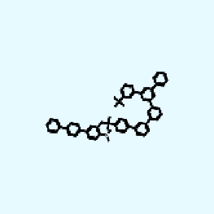 CN(C)c1ccc(-c2ccc(-c3ccccc3)cc2)cc1CC(C)(C)c1ccc(-c2cccc(-c3cccc(-c4cc(-c5ccccc5)cc(-c5cccc(C(C)(C)C)c5)c4)c3)c2)cc1